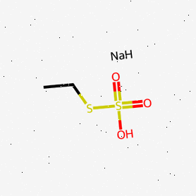 CCSS(=O)(=O)O.[NaH]